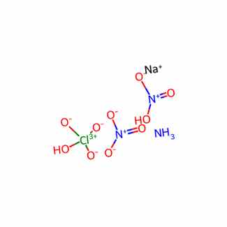 N.O=[N+]([O-])O.O=[N+]([O-])[O-].[Na+].[O-][Cl+3]([O-])([O-])O